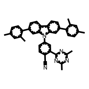 Cc1ccc(-c2ccc3c4ccc(-c5ccc(C)cc5C)cc4n(-c4ccc(C#N)c(-c5nc(C)nc(C)n5)c4)c3c2)c(C)c1